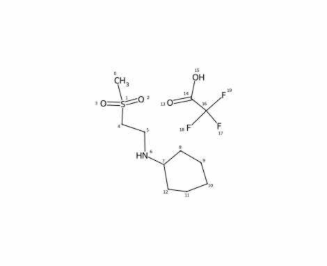 CS(=O)(=O)CCNC1CCCCC1.O=C(O)C(F)(F)F